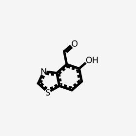 O=Cc1c(O)ccc2scnc12